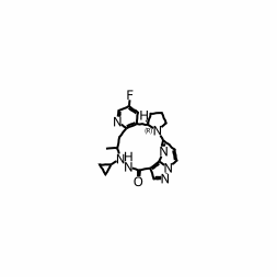 CC1Cc2ncc(F)cc2[C@H]2CCCN2c2ccn3ncc(c3n2)C(=O)NN1C1CC1